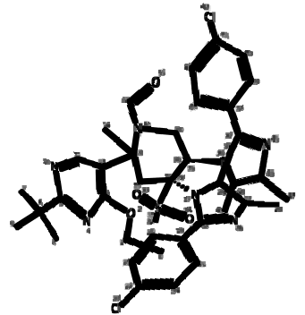 CCOc1nc(C(C)(C)C)ncc1C1(C)C[C@](N2C(c3ccc(Cl)cc3)=NC(C)C2C)(S(C)(=O)=O)[C@H](N2C(c3ccc(Cl)cc3)=NC(C)C2C)CN1C=O